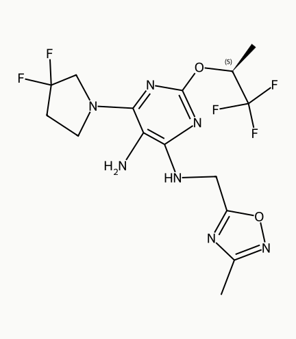 Cc1noc(CNc2nc(O[C@@H](C)C(F)(F)F)nc(N3CCC(F)(F)C3)c2N)n1